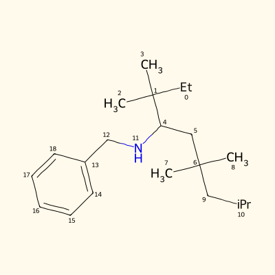 CCC(C)(C)C(CC(C)(C)CC(C)C)NCc1ccccc1